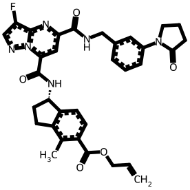 C=CCOC(=O)c1ccc2c(c1C)CC[C@@H]2NC(=O)c1cc(C(=O)NCc2cccc(N3CCCC3=O)c2)nc2c(F)cnn12